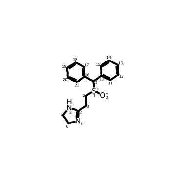 [O-][S+](CCC1=NCCN1)C(c1ccccc1)c1ccccc1